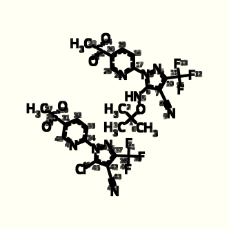 CC(C)(C)ONc1c(C#N)c(C(F)(F)F)nn1-c1ccc(S(C)(=O)=O)cn1.CS(=O)(=O)c1ccc(-n2nc(C(F)(F)F)c(C#N)c2Cl)nc1